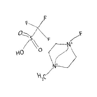 C[N+]12CC[N+](F)(CC1)CC2.O=S(=O)(O)C(F)(F)F